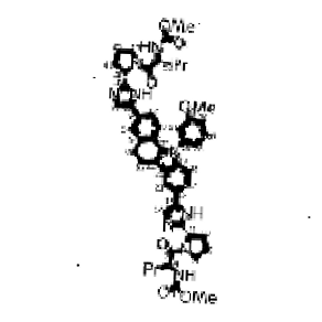 COC(=O)NC(C(=O)N1CCC[C@H]1c1ncc(-c2ccc3c(c2)c2c(n3-c3cccc(OC)c3)-c3ccc(-c4cnc([C@@H]5CCCN5C(=O)[C@@H](NC(=O)OC)C(C)C)[nH]4)cc3CC2)[nH]1)C(C)C